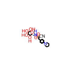 N#C/C(=C\c1ccc(N2CCCCC2)cc1)S(=O)(=O)NC[C@H]1OC(O)[C@H](O)[C@@H](O)[C@@H]1O